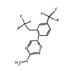 CSc1ncc(-c2ccc(C(F)(F)F)cc2CC(F)(F)F)nn1